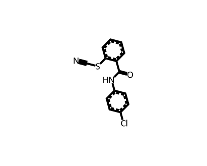 N#CSc1ccccc1C(=O)Nc1ccc(Cl)cc1